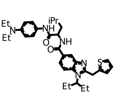 CCC(CC)n1c(Cc2cccs2)nc2cc(C(=O)NC(CC(C)C)C(=O)Nc3ccc(N(CC)CC)cc3)ccc21